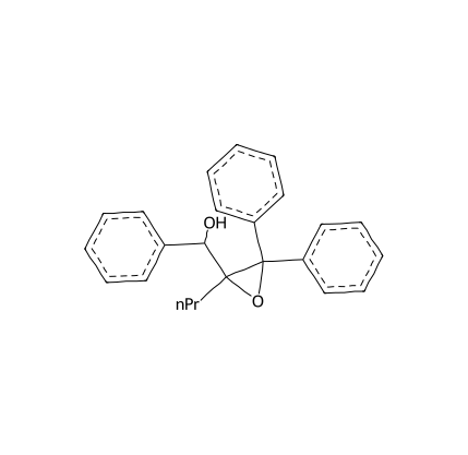 CCCC1(C(O)c2ccccc2)OC1(c1ccccc1)c1ccccc1